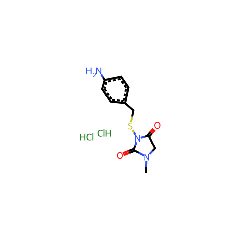 CN1CC(=O)N(SCc2ccc(N)cc2)C1=O.Cl.Cl